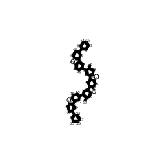 Cc1cc2oc3cc4oc5cc(C)c(-c6ccc7oc8ccc(-c9ccccc9)cc8c7c6)cc5c4cc3c2cc1-c1ccc2oc3ccc(-c4ccccc4)cc3c2c1